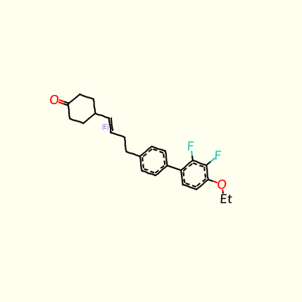 CCOc1ccc(-c2ccc(CC/C=C/C3CCC(=O)CC3)cc2)c(F)c1F